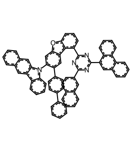 c1ccc(-c2ccc(-c3cc4c(cc3-n3c5ccccc5c5cc6ccccc6cc53)oc3cccc(-c5nc(-c6ccc7ccccc7c6)nc(-c6cc7ccccc7c7ccccc67)n5)c34)cc2)cc1